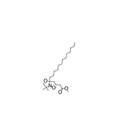 CCCCCCCCCCCCCC1(CCCC(=O)OC)OCC(C)(C)N1[O]